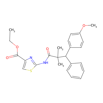 CCOC(=O)c1csc(NC(=O)C(C)(C)C(c2ccccc2)c2ccc(OC)cc2)n1